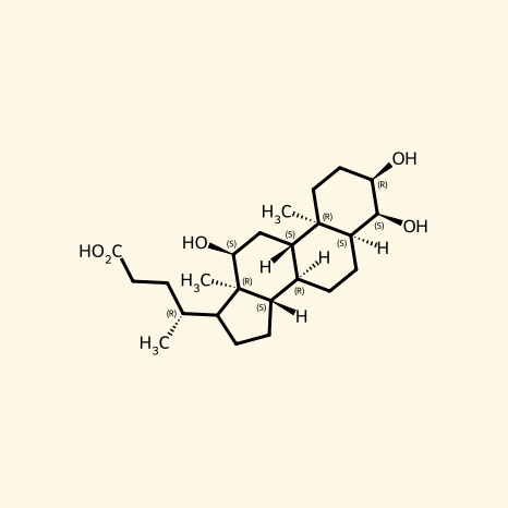 C[C@H](CCC(=O)O)C1CC[C@H]2[C@@H]3CC[C@@H]4[C@H](O)[C@H](O)CC[C@]4(C)[C@H]3C[C@H](O)[C@]12C